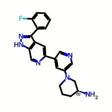 N[C@H]1CCCN(c2cncc(-c3cc4c(-c5ccccc5F)n[nH]c4cn3)c2)C1